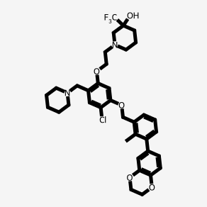 Cc1c(COc2cc(OCCN3CCCC(O)(C(F)(F)F)C3)c(CN3CCCCC3)cc2Cl)cccc1-c1ccc2c(c1)OCCO2